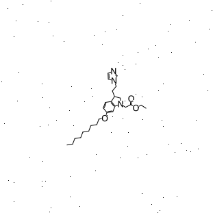 CCCCCCCCCOc1ccc2c(c1)N(CC(=O)OCC)CC2CCn1ccnc1